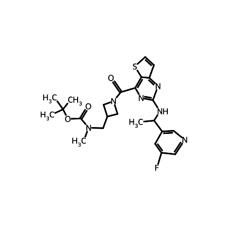 CC(Nc1nc(C(=O)N2CC(CN(C)C(=O)OC(C)(C)C)C2)c2sccc2n1)c1cncc(F)c1